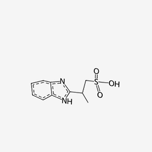 CC(CS(=O)(=O)O)c1nc2ccccc2[nH]1